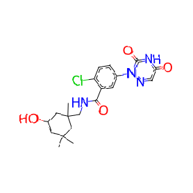 CC1(C)CC(O)CC(C)(CNC(=O)c2cc(-n3ncc(=O)[nH]c3=O)ccc2Cl)C1